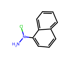 NN(Cl)c1cccc2ccccc12